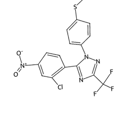 CSc1ccc(-n2nc(C(F)(F)F)nc2-c2ccc([N+](=O)[O-])cc2Cl)cc1